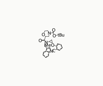 COc1ccccc1Cn1cc(CN(C(=O)C2CN(C(=O)OC(C)(C)C)CCO2)C2CC2)c2ccccc21